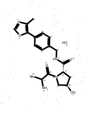 Cc1ncoc1-c1ccc(CNC(=O)[C@@H]2C[C@@H](O)CN2C(=O)C(N)C(C)(C)C)cc1.Cl